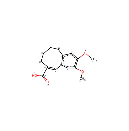 COc1cc2c(cc1OC)CCCC/C(C(=O)O)=C\2